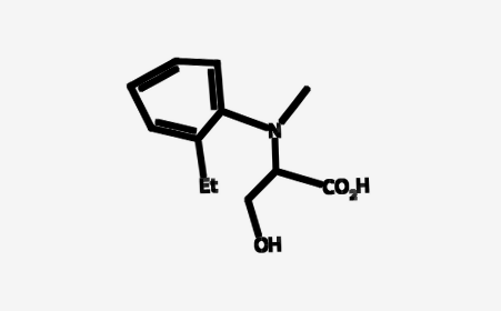 CCc1ccccc1N(C)C(CO)C(=O)O